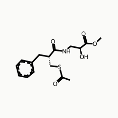 COC(=O)[C@@H](O)CNC(=O)[C@H](CSC(C)=O)Cc1ccccc1